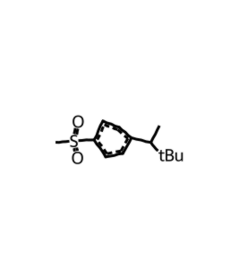 CC(c1ccc(S(C)(=O)=O)cc1)C(C)(C)C